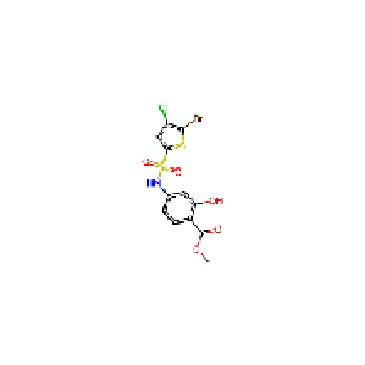 COC(=O)c1ccc(NS(=O)(=O)c2cc(Cl)c(Br)s2)cc1O